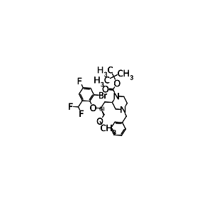 COC[C@H](CC1CN(Cc2ccccc2)CCN1C(=O)OC(C)(C)C)Oc1c(Br)cc(F)cc1C(F)F